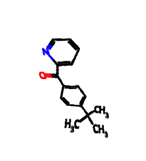 CC(C)(C)c1ccc(C(=O)c2ccccn2)cc1